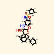 O=C1OC(CCc2ccccc2)(c2ccccc2)C(C2CC2)C(O)=C1Nc1cccc(NS(=O)(=O)c2ccccc2)c1